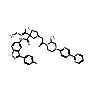 CON=C(C)C1(C(=O)Nc2ccc3[nH]nc(-c4ccc(F)cc4)c3c2)CCN(CC(=O)N2CCN(c3ccc(-c4ncccn4)cn3)CC2C)C1